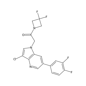 O=C(Cn1cc(Cl)c2ncc(-c3ccc(F)c(F)c3)cc21)N1CC(F)(F)C1